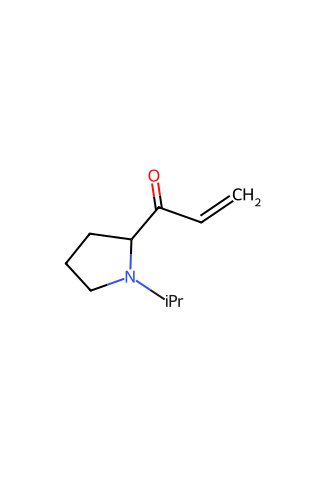 C=CC(=O)C1CCCN1C(C)C